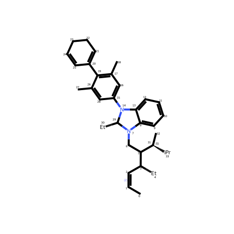 C/C=C\C(CC)C(CN1c2ccccc2N(c2cc(C)c(C3=CCCC=C3)c(C)c2)C1CC)[C@@H](C)C(C)C